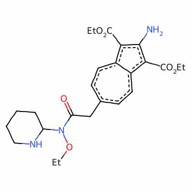 CCOC(=O)c1c2ccc(CC(=O)N(OCC)C3CCCCN3)ccc-2c(C(=O)OCC)c1N